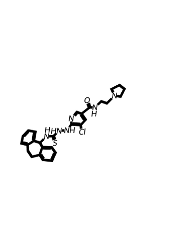 O=C(NCCN1CCCC1)c1cnc(NNC(=S)NC2c3ccccc3CCc3ccccc32)c(Cl)c1